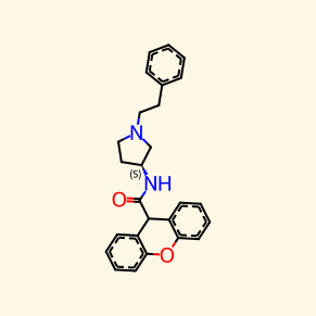 O=C(N[C@H]1CCN(CCc2ccccc2)C1)C1c2ccccc2Oc2ccccc21